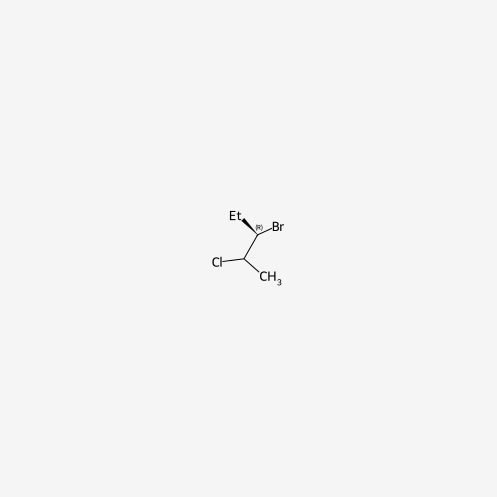 CC[C@@H](Br)C(C)Cl